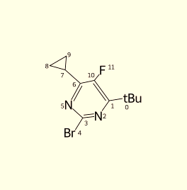 CC(C)(C)c1nc(Br)nc(C2CC2)c1F